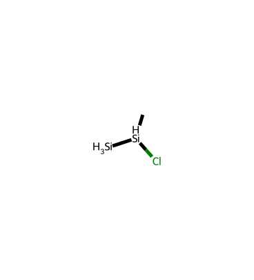 C[SiH]([SiH3])Cl